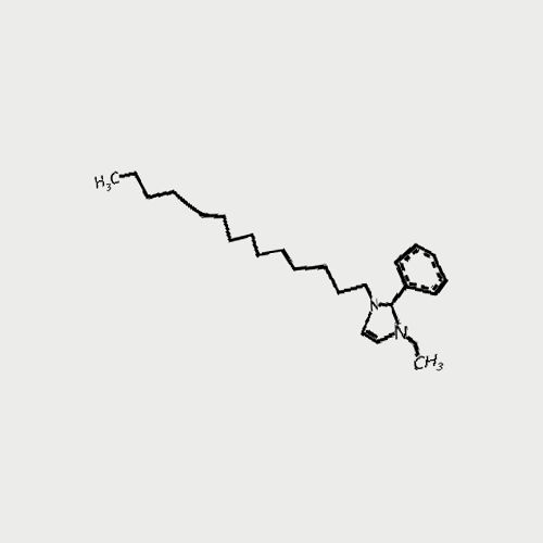 CCCCCCCCCCCCCCN1C=CN(CC)C1c1ccccc1